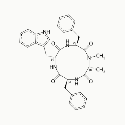 C[C@@H]1C(=O)N[C@@H](Cc2ccccc2)C(=O)N[C@H](Cc2c[nH]c3ccccc23)C(=O)N[C@@H](Cc2ccccc2)C(=O)N1C